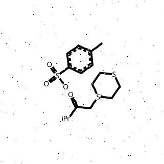 CC(C)C(=O)C[S+]1CCSCC1.Cc1ccc(S(=O)(=O)[O-])cc1